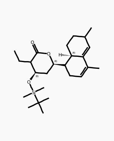 CCC1C(=O)O[C@@H](C2CC=C(C)C3=CC(C)CC[C@@H]32)C[C@H]1O[Si](C)(C)C(C)(C)C